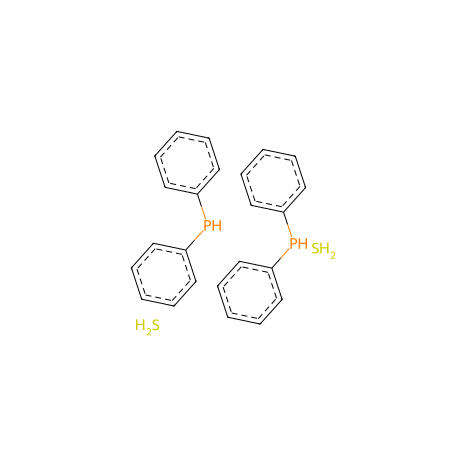 S.S.c1ccc(Pc2ccccc2)cc1.c1ccc(Pc2ccccc2)cc1